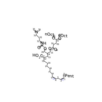 CCCCC/C=C\C/C=C\CCCCCCC(CC(COC(=O)CCC(OCCCCCCCC)OCCCCCCCC)COC(=O)NCCCN(C)C)C(=O)O